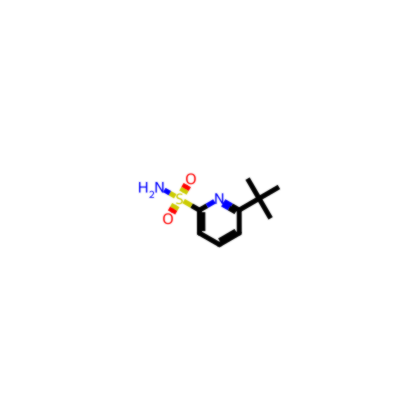 CC(C)(C)c1cccc(S(N)(=O)=O)n1